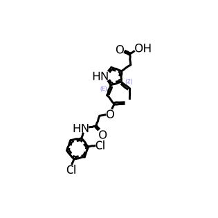 C=C(/C=c1/[nH]cc(CC(=O)O)/c1=C/C)OCC(=O)Nc1ccc(Cl)cc1Cl